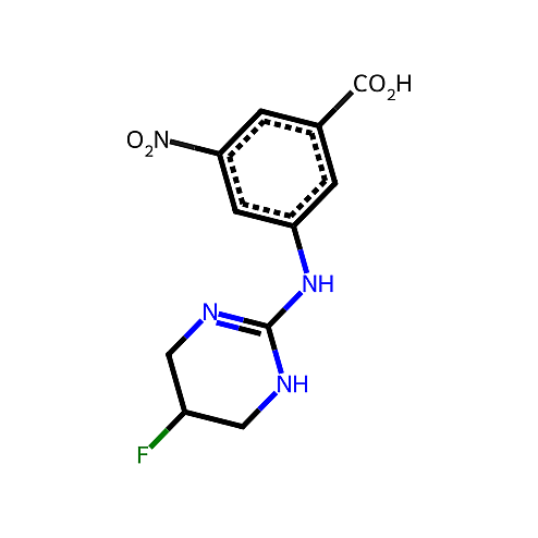 O=C(O)c1cc(NC2=NCC(F)CN2)cc([N+](=O)[O-])c1